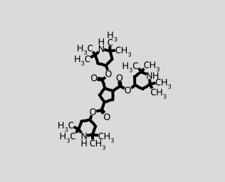 CC1(C)CC(OC(=O)C2CC(C(=O)OC3CC(C)(C)NC(C)(C)C3)C(C(=O)OC3CC(C)(C)NC(C)(C)C3)C2)CC(C)(C)N1